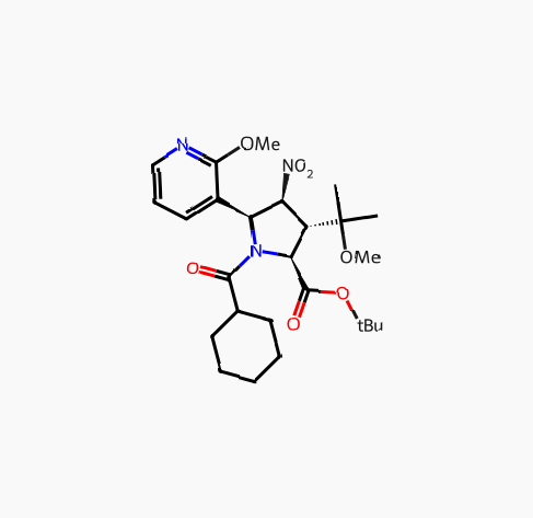 COc1ncccc1[C@H]1[C@@H]([N+](=O)[O-])[C@H](C(C)(C)OC)[C@@H](C(=O)OC(C)(C)C)N1C(=O)C1CCCCC1